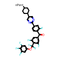 CCCCCC1CCC(c2cnc(-c3ccc(C(=O)c4cc(F)c(C(F)(F)Oc5cc(F)c(F)c(F)c5)c(F)c4)c(F)c3)nc2)CC1